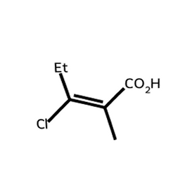 CC/C(Cl)=C(/C)C(=O)O